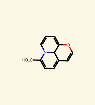 O=C(O)C1=CC=C2C=COC3=CC=CN1C23